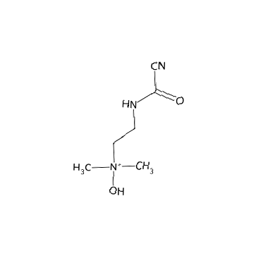 C[N+](C)(O)CCNC(=O)C#N